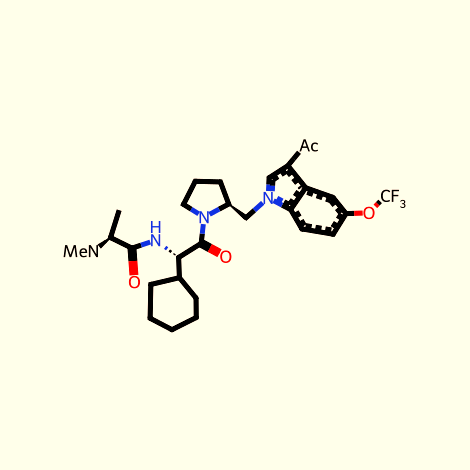 CN[C@@H](C)C(=O)N[C@H](C(=O)N1CCC[C@H]1Cn1cc(C(C)=O)c2cc(OC(F)(F)F)ccc21)C1CCCCC1